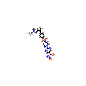 CN(C)CC1=C(c2ccc(S(=O)(=O)N3CCN(c4ncc(C(=O)NO)cn4)CC3)cc2)CCS1